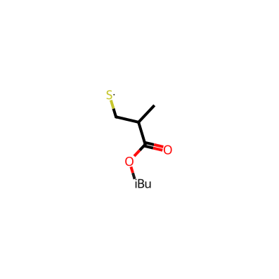 CCC(C)OC(=O)C(C)C[S]